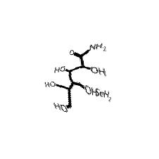 NC(=O)C(O)C(O)C(O)C(O)CO.[SeH2]